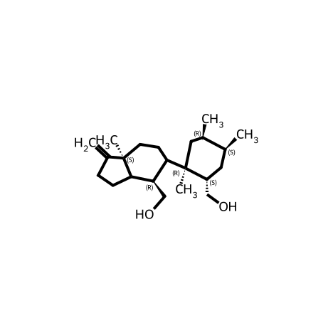 C=C1CCC2[C@H](CO)C([C@@]3(C)C[C@@H](C)[C@@H](C)C[C@@H]3CO)CC[C@]12C